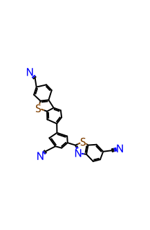 N#Cc1cc(-c2ccc3c(c2)sc2cc(C#N)ccc23)cc(-c2nc3ccc(C#N)cc3s2)c1